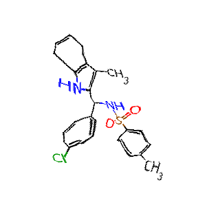 Cc1ccc(S(=O)(=O)NC(c2ccc(Cl)cc2)c2[nH]c3c(c2C)CC=CC3)cc1